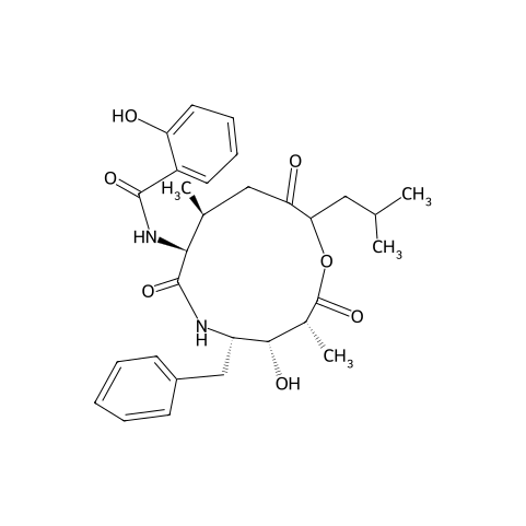 CC(C)CC1OC(=O)[C@H](C)[C@H](O)[C@H](Cc2ccccc2)NC(=O)[C@@H](NC(=O)c2ccccc2O)[C@@H](C)CC1=O